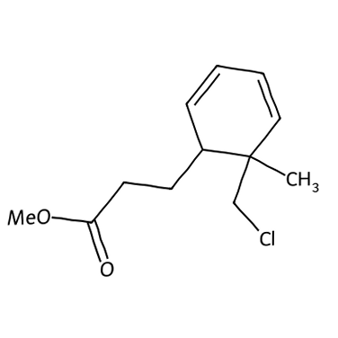 COC(=O)CCC1C=CC=CC1(C)CCl